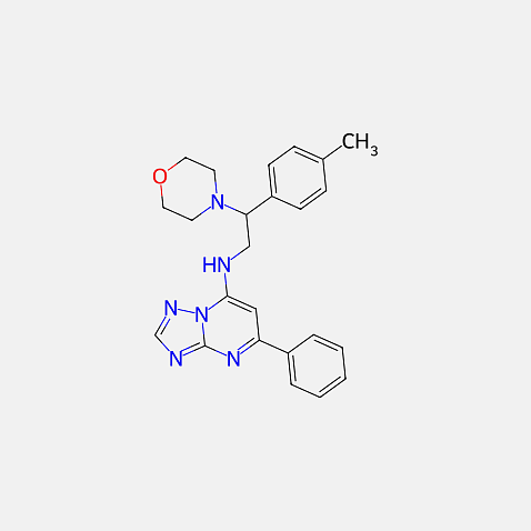 Cc1ccc(C(CNc2cc(-c3ccccc3)nc3ncnn23)N2CCOCC2)cc1